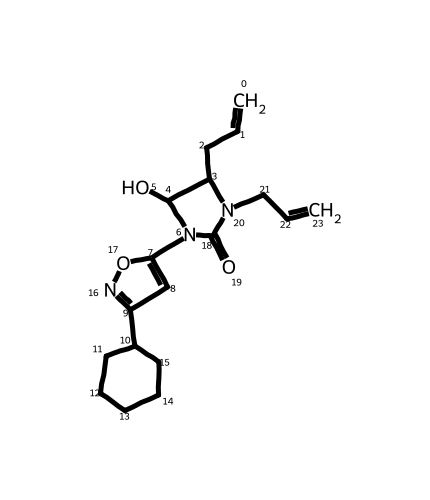 C=CCC1C(O)N(c2cc(C3CCCCC3)no2)C(=O)N1CC=C